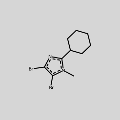 Cn1c(C2CCCCC2)nc(Br)c1Br